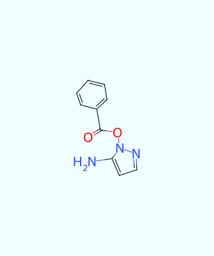 Nc1ccnn1OC(=O)c1ccccc1